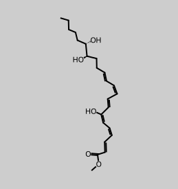 CCCCC[C@H](O)[C@H](O)CC/C=C/C=C\C=C\C(O)=C/C=C\C=C\C(=O)OC